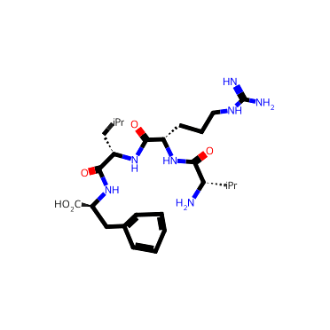 CC(C)C[C@H](NC(=O)[C@H](CCCNC(=N)N)NC(=O)[C@@H](N)C(C)C)C(=O)N[C@@H](Cc1ccccc1)C(=O)O